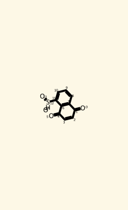 O=C1C=CC(=O)c2c1cccc2[SH](=O)=O